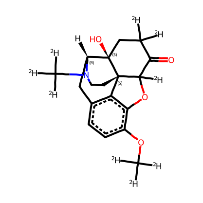 [2H]C([2H])([2H])Oc1ccc2c3c1OC1([2H])C(=O)C([2H])([2H])C[C@@]4(O)[C@@H](C2)N(C([2H])([2H])[2H])CC[C@]314